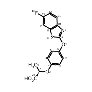 C[C@@H](Oc1ccc(Oc2nc3ccc(F)cc3s2)cc1)C(=O)O